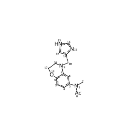 CC(=O)N(C)c1ccc2c(c1)N(Cc1c[nH]cn1)CCO2